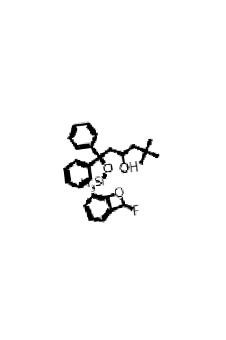 CC(C)(C)CC(O)CC(O[SiH3])(c1ccccc1)c1ccccc1.FC1Oc2ccccc21